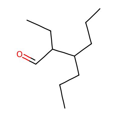 CCCC(CCC)C(C=O)CC